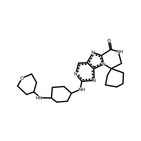 O=C1NCC2(CCCCC2)n2c1nc1cnc(NC3CCC(NC4CCOCC4)CC3)nc12